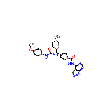 CC(C)(C)C1CCC(C(NC(=O)Nc2ccc(OC(F)(F)F)cc2)c2ccc(C(=O)Nc3ncnc4[nH]ncc34)cc2)CC1